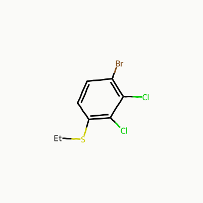 CCSc1ccc(Br)c(Cl)c1Cl